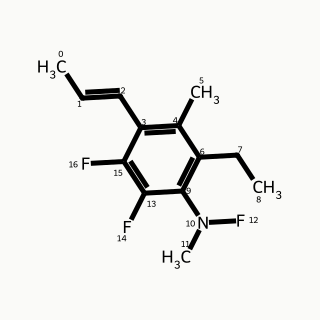 CC=Cc1c(C)c(CC)c(N(C)F)c(F)c1F